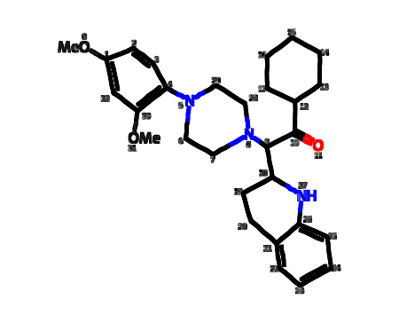 COc1ccc(N2CCN(C(C(=O)C3CCCCC3)C3CCc4ccccc4N3)CC2)c(OC)c1